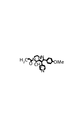 C=CC(=O)N1CCn2nc(-c3ccc(OC)cc3)c(-c3ccncc3)c2[C@H]1C